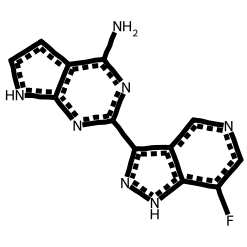 Nc1nc(-c2n[nH]c3c(F)cncc23)nc2[nH]ccc12